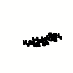 Cc1ccc(-c2cc(COS(C)(=O)=O)no2)nn1